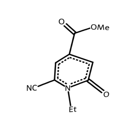 CCn1c(C#N)cc(C(=O)OC)cc1=O